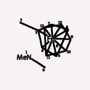 CNC.C[C]12[CH]3[CH]4[CH]5[CH]1[Fe]45321678[CH]2[CH]1[CH]6[CH]7[CH]28